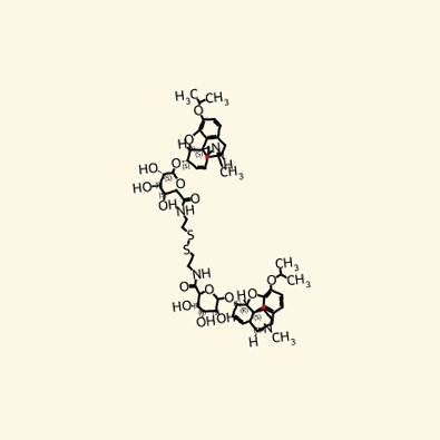 CC(C)Oc1ccc2c3c1O[C@H]1[C@@H](OC4OC(C(=O)NCCSSCCNC(=O)C5OC(O[C@H]6C=CC7[C@H]8Cc9ccc(OC(C)C)c%10c9[C@@]7(CCN8C)[C@H]6O%10)[C@@H](O)[C@H](O)[C@@H]5O)[C@@H](O)[C@@H](O)[C@@H]4O)C=CC4[C@@H](C2)N(C)CC[C@@]341